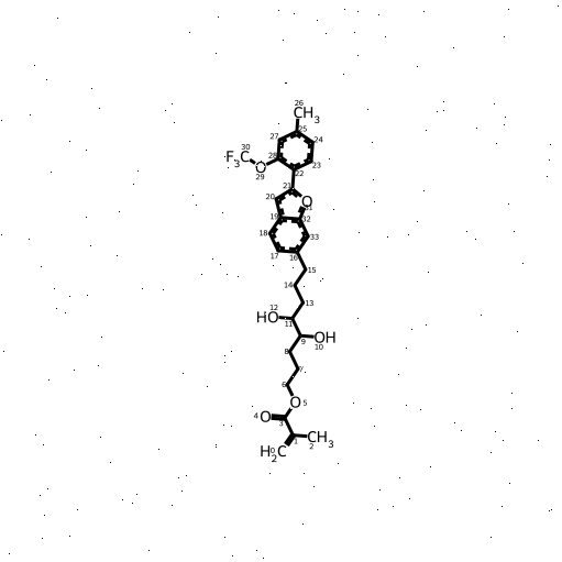 C=C(C)C(=O)OCCCC(O)C(O)CCCc1ccc2cc(-c3ccc(C)cc3OC(F)(F)F)oc2c1